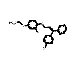 O=C(O)COc1ccc(SCC=C(c2ccccc2)c2ccc(Br)cc2)c(Cl)c1